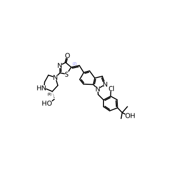 CC(C)(O)c1ccc(Cn2ncc3cc(/C=C4\SC(N5CCN[C@@H](CO)C5)=NC4=O)ccc32)c(Cl)c1